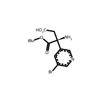 CC(C)(C)OC(=O)[C@](N)(CC(=O)O)c1cncc(Br)c1